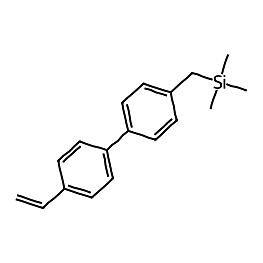 C=Cc1ccc(-c2ccc(C[Si](C)(C)C)cc2)cc1